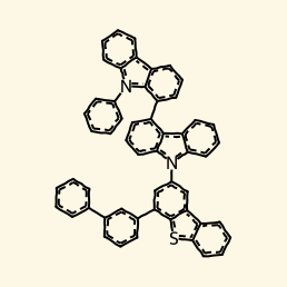 c1ccc(-c2cccc(-c3cc(-n4c5ccccc5c5c(-c6cccc7c8ccccc8n(-c8ccccc8)c67)cccc54)cc4c3sc3ccccc34)c2)cc1